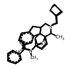 CC1N(CC2CCC2)CC2Cc3ccc(O)cc3C23C2COC13CCC2N(C)C(=O)c1ccccc1